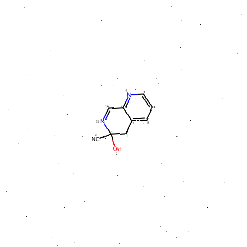 N#CC1(O)Cc2cccnc2C=N1